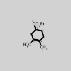 CCOC(=O)C1CCC(C)=C(C)C1